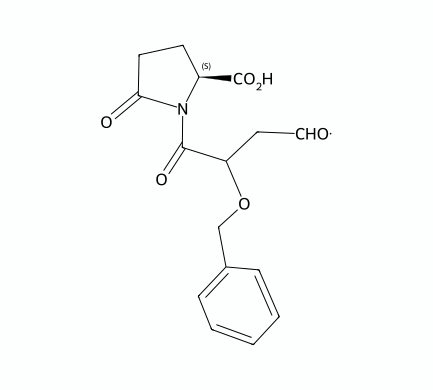 O=[C]CC(OCc1ccccc1)C(=O)N1C(=O)CC[C@H]1C(=O)O